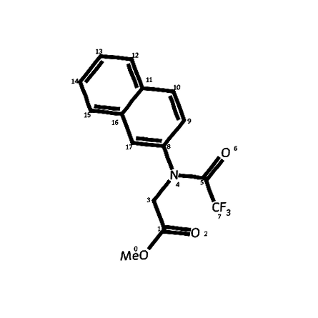 COC(=O)CN(C(=O)C(F)(F)F)c1ccc2ccccc2c1